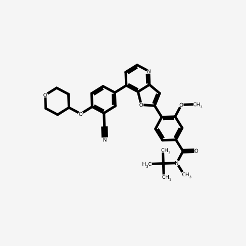 COc1cc(C(=O)N(C)C(C)(C)C)ccc1-c1cc2nccc(-c3ccc(OC4CCOCC4)c(C#N)c3)c2o1